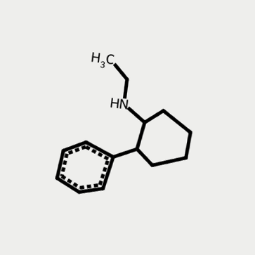 CCNC1CCCCC1c1ccccc1